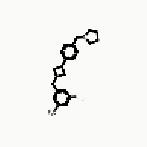 FC(F)(F)c1cc(CC2CC(c3ccc(CN4CCCC4)cc3)C2)cc(C(F)(F)F)c1